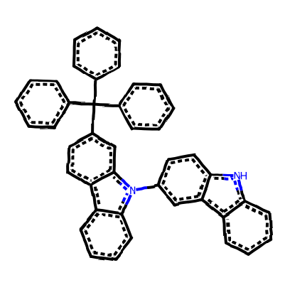 c1ccc(C(c2ccccc2)(c2ccccc2)c2ccc3c4ccccc4n(-c4ccc5[nH]c6ccccc6c5c4)c3c2)cc1